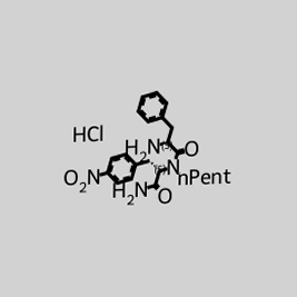 CCCCCN(C(=O)[C@@H](N)Cc1ccccc1)[C@@H](Cc1ccc([N+](=O)[O-])cc1)C(N)=O.Cl